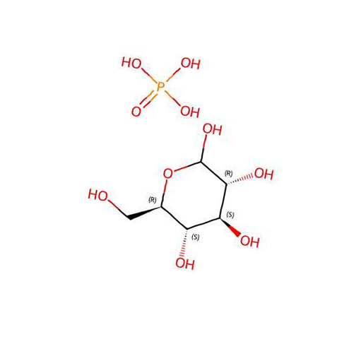 O=P(O)(O)O.OC[C@H]1OC(O)[C@H](O)[C@@H](O)[C@@H]1O